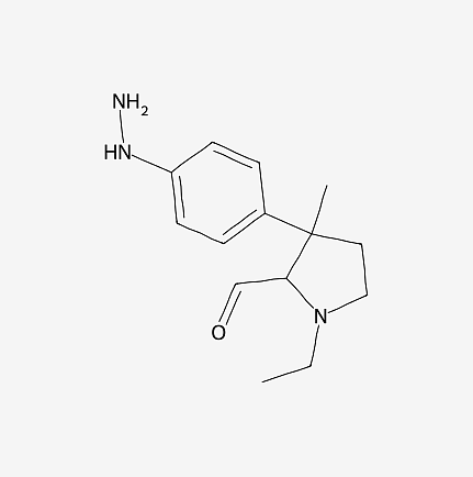 CCN1CCC(C)(c2ccc(NN)cc2)C1C=O